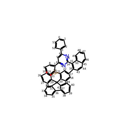 c1ccc(-c2cc(-c3ccccc3)nc(-c3c(-c4ccc5c(c4)Sc4ccccc4C54c5ccccc5-c5ccccc54)ccc4ccccc34)n2)cc1